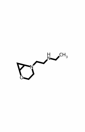 CCNCCN1CCOC2CC21